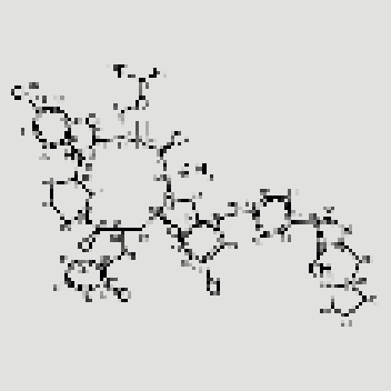 C[C@H]1C(=O)N[C@@H](COC(F)F)C(=O)N[C@@]2(Cc3ccc(Cl)cc3)CCCN(C2)C(=O)[C@H](Cc2cccc[n+]2[O-])CC(=O)N1Cc1ccc(Cl)cc1Oc1ccc(-c2cnc(CN3CCCC3)n2C)cc1